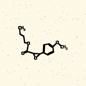 CCCCOC(=O)C1OC1c1ccc(OC)cc1